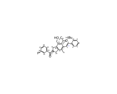 Cc1c(/C=C/c2ccccc2)c(C(OC(C)(C)C)C(=O)O)c(C)c2c1CN(C(=O)c1cccc(F)c1)C2